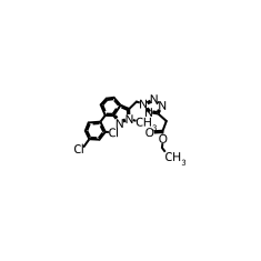 CCOC(=O)Cc1nnn(Cc2c3cccc(-c4ccc(Cl)cc4Cl)c3nn2C)n1